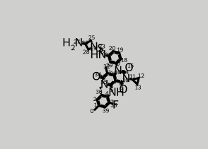 Cc1ccc(Nc2c3c(=O)n(C4CC4)c(=O)n(-c4cccc(NSN5CC(N)C5)c4)c3c(C)c(=O)n2C)c(F)c1